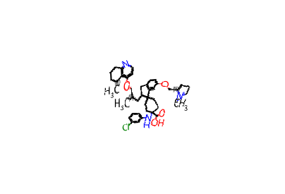 C[C@@H](COc1ccnc2c1[C@H](C)CCC2)CC1Cc2ccc(OC[C@H]3CCCN3C)cc2C12CCC(Nc1cccc(Cl)c1)(C(=O)O)CC2